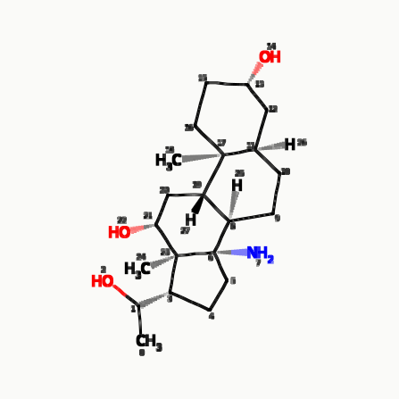 CC(O)[C@H]1CC[C@]2(N)[C@@H]3CC[C@@H]4C[C@@H](O)CC[C@]4(C)[C@H]3C[C@@H](O)[C@]12C